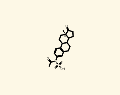 CC(=O)N(c1ccc2c(c1)CCC1C2CC[C@]2(C)C(=O)CCC12)S(=O)(=O)O